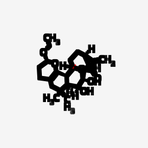 C=C1C(=O)[C@]23[C@H](O)[C@H]1CC[C@H]2[C@@]12CO[C@]3(O)[C@@H](O)[C@@H]1C(C)(C)CC1=C2O[C@H](OCC)CC1